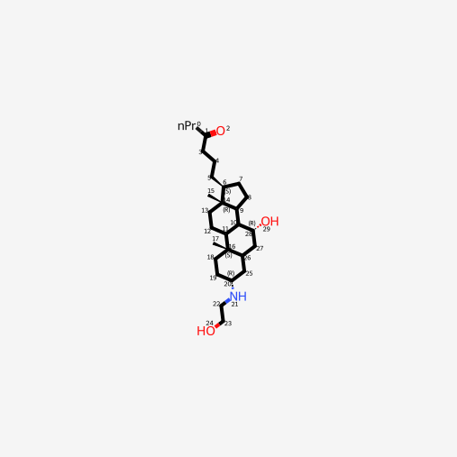 CCCC(=O)CCC[C@H]1CCC2C3C(CC[C@@]21C)[C@@]1(C)CC[C@@H](NCCO)CC1C[C@H]3O